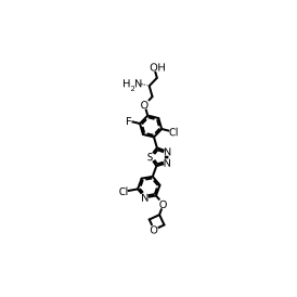 N[C@H](CO)COc1cc(Cl)c(-c2nnc(-c3cc(Cl)nc(OC4COC4)c3)s2)cc1F